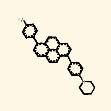 Cc1ccc(-c2ccc3ccc4c(-c5ccc(N6CCCCC6)cc5)ccc5ccc2c3c54)cc1